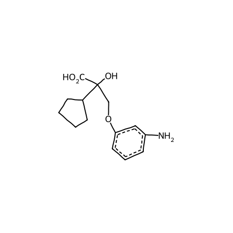 Nc1cccc(OCC(O)(C(=O)O)C2CCCC2)c1